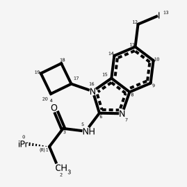 CC(C)[C@@H](C)C(=O)Nc1nc2ccc(CI)cc2n1C1CCC1